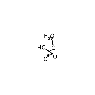 O.O=S(=O)(O)[O][V]